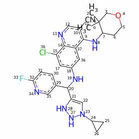 CC1(C)COCCC1Nc1c(C#N)cnc2c(Cl)cc(NC(C3=CN(C4CC4)NN3)c3ccc(F)nc3)cc12